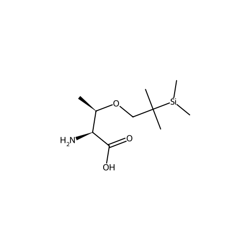 C[C@@H](OCC(C)(C)[Si](C)C)[C@H](N)C(=O)O